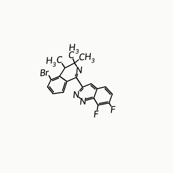 CC1c2c(Br)cccc2C(c2cc3ccc(F)c(F)c3nn2)=NC1(C)C